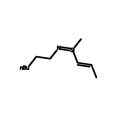 CC=C[Si](C)=NCCCCCC